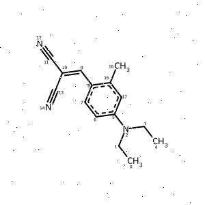 CCN(CC)c1ccc(C=C(C#N)C#N)c(C)c1